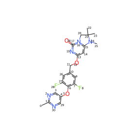 Cc1ncc(Oc2c(F)cc(COc3cc4n(c(=O)n3)CC(C)(C)N4C)cc2F)cn1